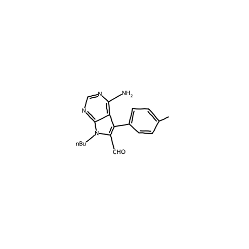 CCCCn1c(C=O)c(-c2ccc(C)cc2)c2c(N)ncnc21